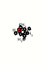 CCn1c2cc3c(ccc(N(c4ccccc4)c4ccccc4)c3n(CC)c3cc4c(ccc(N(c5ccccc5)c5ccccc5)c41)c1cc(OC)ccc13)c1cc(C)ccc12